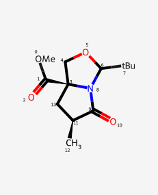 COC(=O)[C@@]12COC(C(C)(C)C)N1C(=O)[C@@H](C)C2